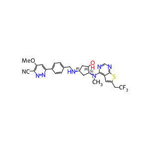 COc1cc(-c2ccc(CN[C@H]3C[C@@H](O)[C@@H](N(C)c4ncnc5sc(CC(F)(F)F)cc45)C3)cc2)nnc1C#N